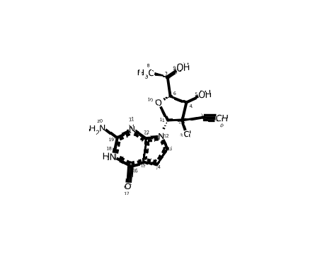 C#CC1(Cl)C(O)[C@@H]([C@@H](C)O)O[C@H]1n1ccc2c(=O)[nH]c(N)nc21